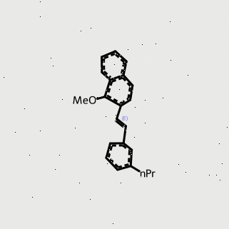 C[CH]Cc1cccc(/C=C/c2ccc3ccccc3c2OC)c1